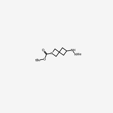 CNNC1CC2(C1)CN(C(=O)OC(C)(C)C)C2